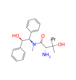 CC(C)C(C)(O)[C@H](N)C(=O)N(C)[C@H](c1ccccc1)[C@H](O)c1ccccc1